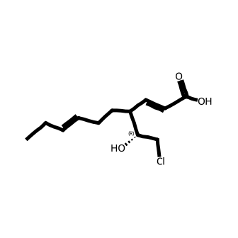 CCC=CCCC(C=CC(=O)O)[C@@H](O)CCl